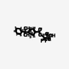 CC(C)(c1ccccc1)c1ccc(C(=O)OCC(F)(F)S(=O)(=O)O)cc1